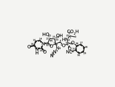 C[C@H](NP(=O)(OC[C@@]1(N=[N+]=[N-])O[C@@H](n2ccc(=O)[nH]c2=O)[C@H](O)[C@@H]1O)Oc1ccccc1C#N)C(=O)O